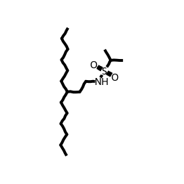 CCCCCCC(CCCCCC)CCNS(=O)(=O)C(C)C